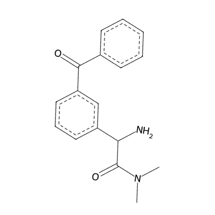 CN(C)C(=O)C(N)c1cccc(C(=O)c2ccccc2)c1